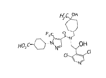 CC1(O)CCC(CN(CC(O)c2c(Cl)cncc2Cl)C(=O)c2cnn([C@H]3CC[C@H](C(=O)O)CC3)c2C(F)(F)F)CC1